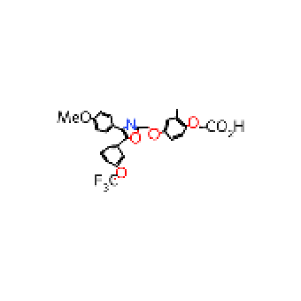 COc1ccc(-c2nc(COc3ccc(OCC(=O)O)c(C)c3)oc2-c2cccc(OC(F)(F)F)c2)cc1